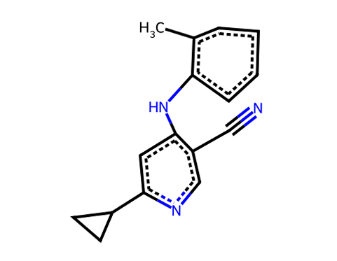 Cc1ccccc1Nc1cc(C2CC2)ncc1C#N